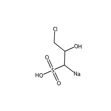 O=S(=O)(O)[CH]([Na])C(O)CCl